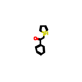 O=C(C[SH]1C=CC=C1)c1cc[c]cc1